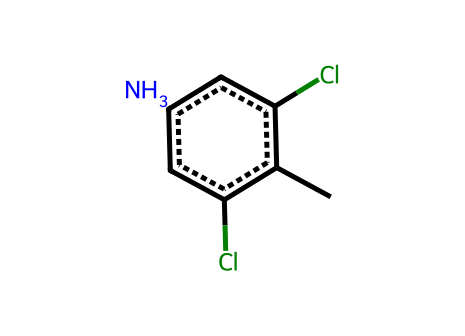 Cc1c(Cl)cccc1Cl.N